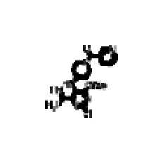 COc1nc(Cl)nc(C(=N)P)c1NC1CCN(C(=O)c2cccnc2)CC1